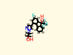 CC(C)(O)C(C)(C)n1cc(-c2cc(F)cc3c2-c2ccccc2C3(O)C(F)(F)F)cn1